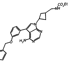 CCOC(=O)NCC1CC(n2cc(-c3cccc(OCc4ccccc4)c3)c3c(N)ncnc32)C1